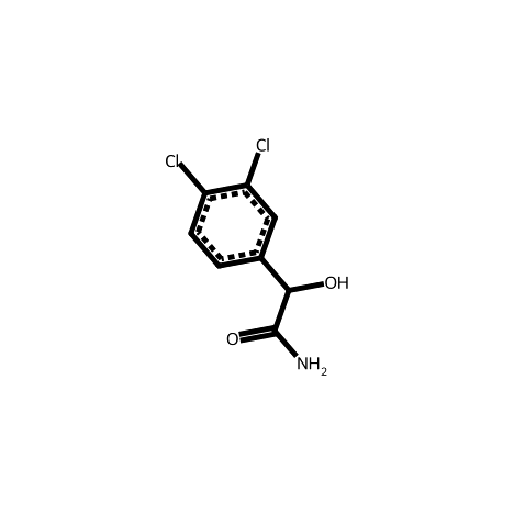 NC(=O)C(O)c1ccc(Cl)c(Cl)c1